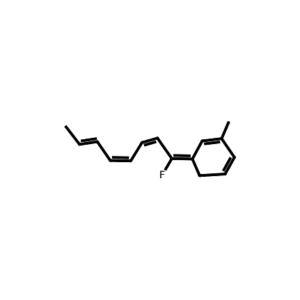 C/C=C/C=C\C=C/C(F)=C1\C=C(C)C=CC1